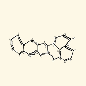 c1ccc2cc3cc4c(cc3cc2c1)Cc1cccc2cccc-4c12